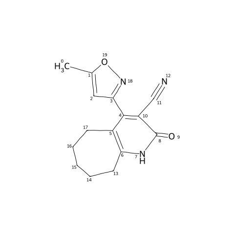 Cc1cc(-c2c3c([nH]c(=O)c2C#N)CCCCC3)no1